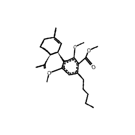 C=C(C)[C@H]1CCC(C)=C[C@H]1c1c(OC)cc(CCCCC)c(C(=O)OC)c1OC